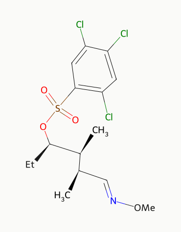 CC[C@@H](OS(=O)(=O)c1cc(Cl)c(Cl)cc1Cl)[C@@H](C)[C@H](C)C=NOC